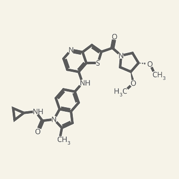 CO[C@H]1CN(C(=O)c2cc3nccc(Nc4ccc5c(c4)cc(C)n5C(=O)NC4CC4)c3s2)C[C@@H]1OC